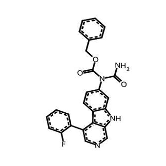 NC(=O)N(C(=O)OCc1ccccc1)c1ccc2c(c1)[nH]c1cncc(-c3ccccc3F)c12